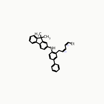 CC/C=C\C=C/Cc1cc(-c2ccccc2)ccc1Nc1ccc2c(c1)C(C)(C)c1ccccc1-2